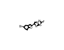 Fc1nn2cc(-c3cc4cc(Br)ccc4o3)nc2s1